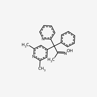 C/C(=N/O)C(c1ccccc1)(c1cc(C)nc(C)c1)c1ccccn1